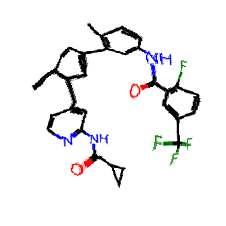 C=C1C=CC(c2cc(NC(=O)c3cc(C(F)(F)F)ccc3F)ccc2C)=CC1c1ccnc(NC(=O)C2CC2)c1